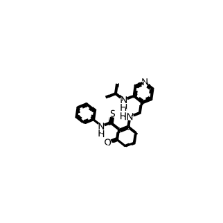 CC(C)Nc1cnccc1CNC1=C(C(=S)Nc2ccccc2)C(=O)CCC1